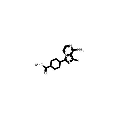 COC(=O)C1CCC(c2nc(I)c3c(N)nccn23)CC1